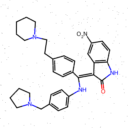 O=C1Nc2ccc([N+](=O)[O-])cc2C1=C(Nc1ccc(CN2CCCC2)cc1)c1ccc(CCN2CCCCC2)cc1